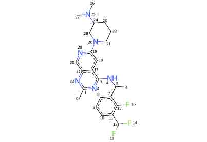 Cc1nc(NC(C)c2cccc(C(F)F)c2F)c2cc(N3CCCC(N(C)C)C3)ncc2n1